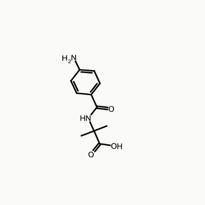 CC(C)(NC(=O)c1ccc(N)cc1)C(=O)O